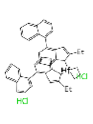 CCC1=Cc2c(-c3cccc4ccccc34)cccc2[CH]1[Hf]1([CH]2C(CC)=Cc3c(-c4cccc5ccccc45)cccc32)[CH2]C[CH2]1.Cl.Cl